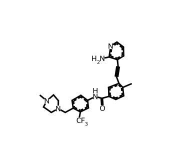 Cc1ccc(C(=O)Nc2ccc(CN3CCN(C)CC3)c(C(F)(F)F)c2)cc1C#Cc1cccnc1N